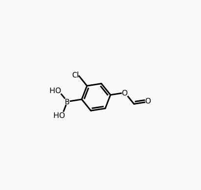 O=COc1ccc(B(O)O)c(Cl)c1